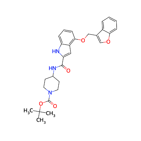 CC(C)(C)OC(=O)N1CCC(NC(=O)c2cc3c(OCc4coc5ccccc45)cccc3[nH]2)CC1